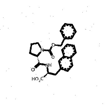 O=C(O)[C@H](Cc1ccc2ccccc2c1)NC(=O)[C@@H]1CCCN1C(=O)OCc1ccccc1